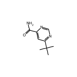 CC(C)(C)c1cc(C(N)=O)ncn1